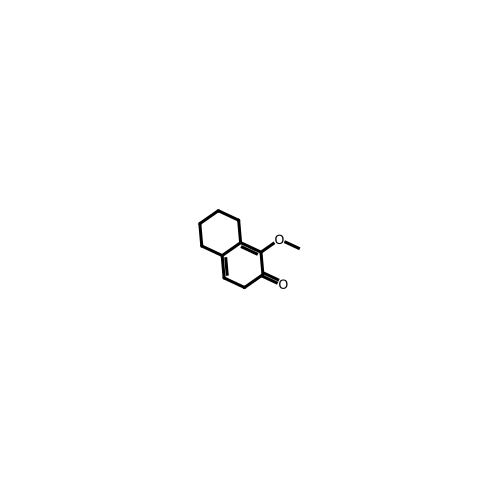 COC1=C2CCCCC2=CCC1=O